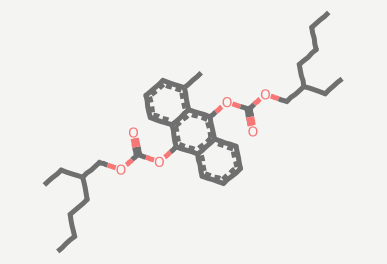 CCCCC(CC)COC(=O)Oc1c2ccccc2c(OC(=O)OCC(CC)CCCC)c2c(C)cccc12